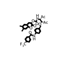 CC(=O)[C@@H](NC(=O)Oc1cc2cc(C)c(C)cc2oc1=O)[C@H](OCc1ccc(NC(=O)c2ccc(C(F)(F)F)cc2)cc1)C(C)=O